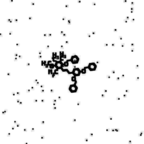 COc1c(C)c(C)c(OCc2ccccc2)c(/C=C/Cc2ccc(OCc3ccccc3)cc2OCc2ccccc2)c1C